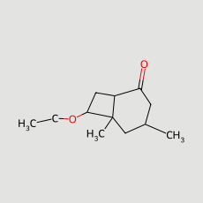 CCOC1CC2C(=O)CC(C)CC12C